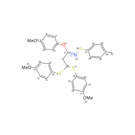 COc1ccc(O/C(CC(Sc2ccc(OC)cc2)Sc2ccc(OC)cc2)=N\Sc2ccc(C)cc2)cc1